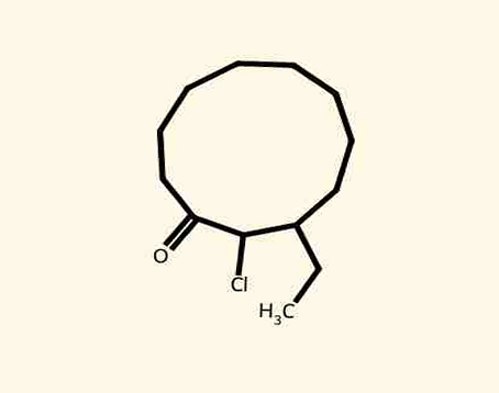 CCC1CCCCCCCCC(=O)C1Cl